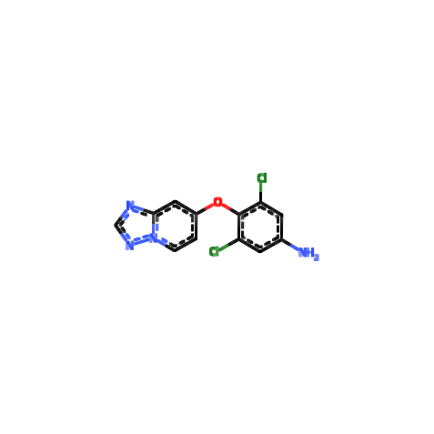 Nc1cc(Cl)c(Oc2ccn3ncnc3c2)c(Cl)c1